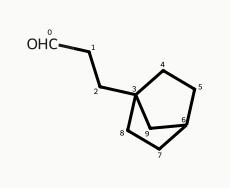 O=CCCC12CCC(CC1)C2